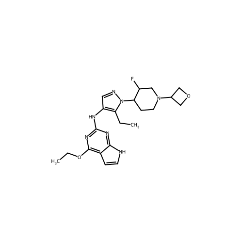 CCOc1nc(Nc2cnn(C3CCN(C4COC4)CC3F)c2CC)nc2[nH]ccc12